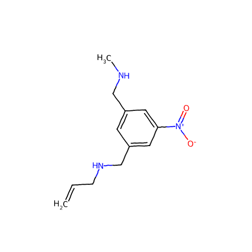 C=CCNCc1cc(CNC)cc([N+](=O)[O-])c1